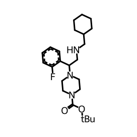 CC(C)(C)OC(=O)N1CCN(C(CNCC2CCCCC2)c2ccccc2F)CC1